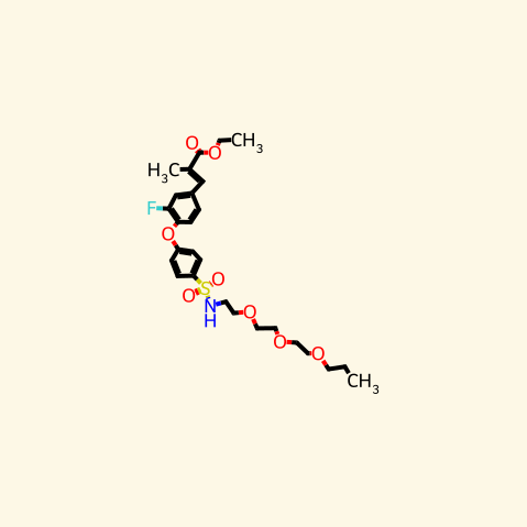 CCCOCCOCCOCCNS(=O)(=O)c1ccc(Oc2ccc(/C=C(\C)C(=O)OCC)cc2F)cc1